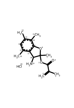 C=C(C)C(=O)OC1(C)Oc2c(C)c(C)cc(C)c2C1N.Cl